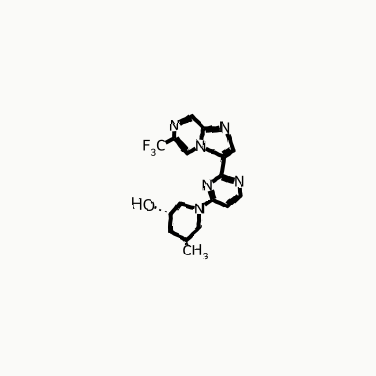 C[C@@H]1C[C@H](O)CN(c2ccnc(-c3cnc4cnc(C(F)(F)F)cn34)n2)C1